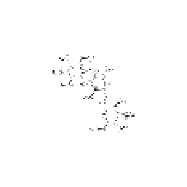 CC(=O)OC[C@H]1O[C@H](OC[C@H]2OC(OC(C)=O)[C@@H](OC(C)=O)[C@@H](O[C@H]3O[C@H](COC(C)=O)[C@@H](OC(C)=O)[C@H](OC(C)=O)[C@@H]3OC(C)=O)[C@@H]2OC(C)=O)[C@@H](OC(C)=O)[C@@H](OC(C)=O)[C@@H]1OC(C)=O